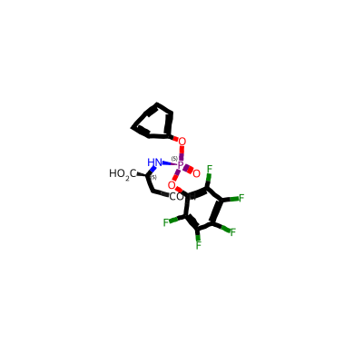 O=C(O)C[C@H](N[P@](=O)(Oc1ccccc1)Oc1c(F)c(F)c(F)c(F)c1F)C(=O)O